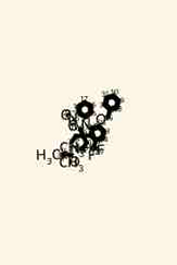 CC(C)(C)C(=O)N1CCC2(CC1)CN(c1ccccc1[N+](=O)[O-])c1c(OCc3ccccc3)ccc(C(F)(F)F)c12